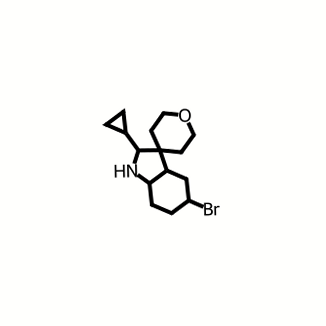 BrC1CCC2NC(C3CC3)C3(CCOCC3)C2C1